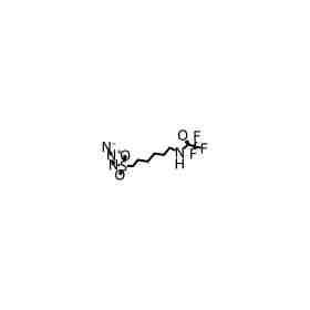 [N-]=[N+]=NS(=O)(=O)CCCCCCNC(=O)C(F)(F)F